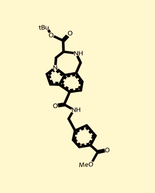 COC(=O)c1ccc(CNC(=O)c2ccc3c4c2ccn4CC(C(=O)OC(C)(C)C)NC3)cc1